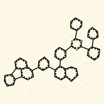 c1ccc(-c2nc(-c3cccc(-c4c(-c5cccc(-c6ccc7c8c(cccc68)-c6ccccc6-7)c5)ccc5ccccc45)c3)nc(-c3ccccc3-c3ccccc3)n2)cc1